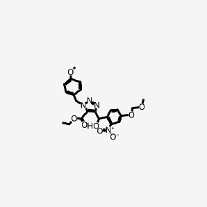 CCOC(=O)c1c(C(O)c2ccc(OCOC)cc2[N+](=O)[O-])nnn1Cc1ccc(OC)cc1